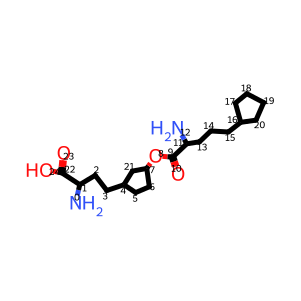 NC(CCC1CCC(OC(=O)C(N)CCCC2CCCC2)C1)C(=O)O